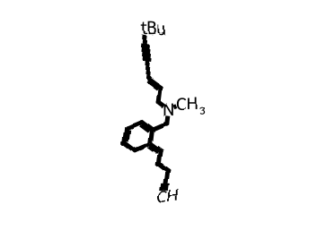 C#CCC/C=C1\CC=CC=C1CN(C)C/C=C/C#CC(C)(C)C